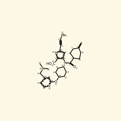 C=C1CCC(C(=O)N(c2cc(C#CC(C)(C)C)sc2C(=O)O)[C@H]2CC[C@H](Oc3cc(CN(C)C)ccn3)CC2)CC1